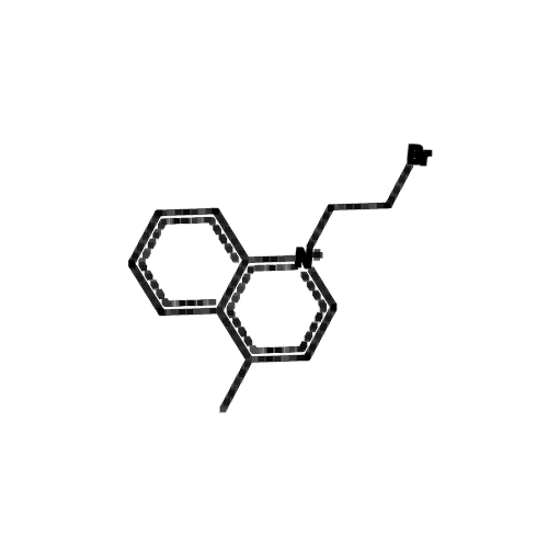 Cc1cc[n+](CCBr)c2ccccc12